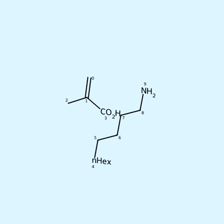 C=C(C)C(=O)O.CCCCCCCCCCN